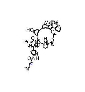 CCn1c(-c2cccnc2[C@H](C)OC)c2c3cc(ccc31)-c1cc(O)cc(c1)C[C@H](NC(=O)[C@H](C(C)C)N(C)C(=O)c1ccc(NC(=O)/C=C/CN(C)C)nc1)C(=O)N1CCC[C@H](N1)C(=O)OCC(C)(C)C2